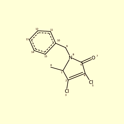 CC1C(Cl)=C(Cl)C(=O)N1Cc1ccccc1